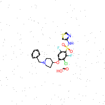 O=CO.O=S(=O)(Nc1cscn1)c1c(F)cc(OC2CCN(Cc3ccccc3)CC2)c(Cl)c1F